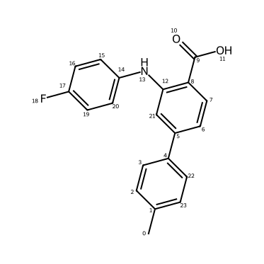 Cc1ccc(-c2ccc(C(=O)O)c(Nc3ccc(F)cc3)c2)cc1